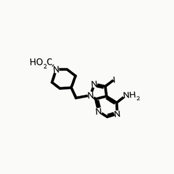 Nc1ncnc2c1c(I)nn2CC1CCN(C(=O)O)CC1